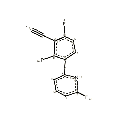 N#Cc1c(F)ccc(-c2cccc(F)n2)c1F